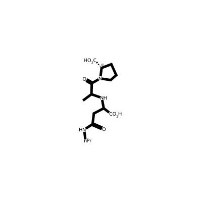 CCCNC(=O)CC(NC(C)C(=O)N1CCC[C@H]1C(=O)O)C(=O)O